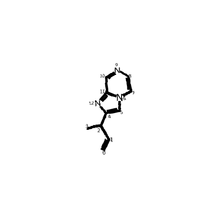 C=CC(C)c1cn2ccncc2n1